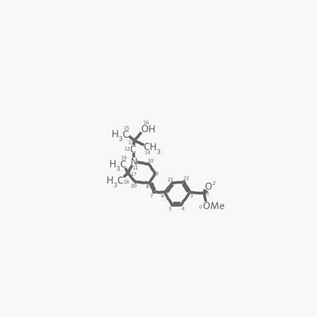 COC(=O)c1ccc(C=C2CCN(CC(C)(C)O)C(C)(C)C2)cc1